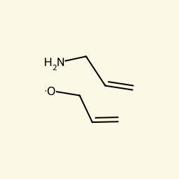 C=CCN.C=CC[O]